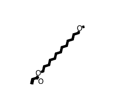 C=CC(=O)OCCCCCCCCCCCCCOC